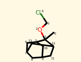 CC1(OCCl)C2CC3CC(C2)CC1C3